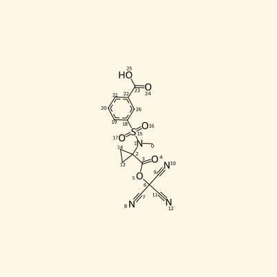 CN(C1(C(=O)OC(C#N)(C#N)C#N)CC1)S(=O)(=O)c1cccc(C(=O)O)c1